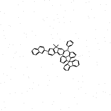 CC1(C)c2cc(-c3ccc4ccccc4c3)ccc2-c2ccc(N(c3ccccc3)c3cccc4c3-c3ccccc3C43c4ccccc4-c4ccccc43)cc21